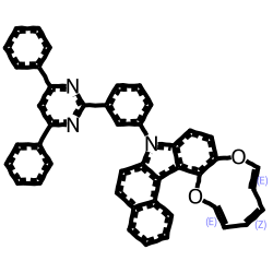 C1=C\C=C\Oc2c(ccc3c2c2c4ccccc4ccc2n3-c2cccc(-c3nc(-c4ccccc4)cc(-c4ccccc4)n3)c2)O/C=C/1